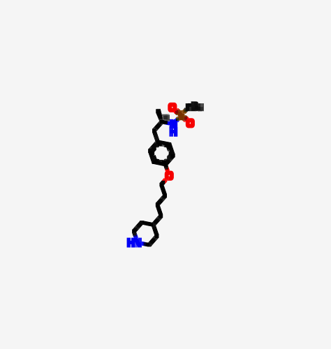 CCCCS(=O)(=O)N[C@H](C)Cc1ccc(OCCCCC2CCNCC2)cc1